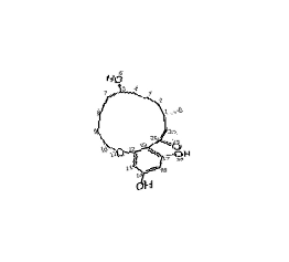 C[C@H]1CCC[C@H](O)CCCCOc2cc(O)cc(O)c2C(=O)C1